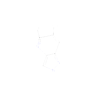 Cc1cc2n[nH]cc2nc1C